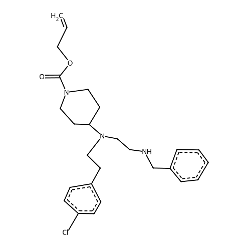 C=CCOC(=O)N1CCC(N(CCNCc2ccccc2)CCc2ccc(Cl)cc2)CC1